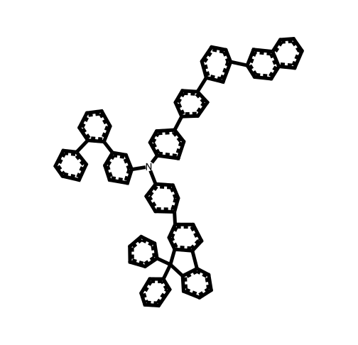 c1ccc(-c2ccccc2-c2cccc(N(c3ccc(-c4ccc(-c5cccc(-c6ccc7ccccc7c6)c5)cc4)cc3)c3ccc(-c4ccc5c(c4)C(c4ccccc4)(c4ccccc4)c4ccccc4-5)cc3)c2)cc1